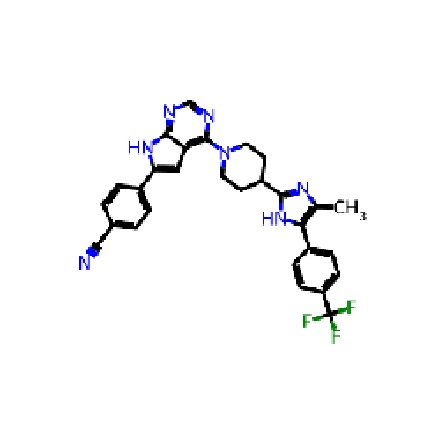 Cc1nc(C2CCN(c3ncnc4[nH]c(-c5ccc(C#N)cc5)cc34)CC2)[nH]c1-c1ccc(C(F)(F)F)cc1